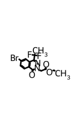 CCOC(=O)Cn1nc(C(C)(F)F)c2cc(Br)ccc2c1=O